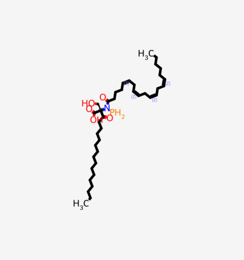 CCCCC/C=C\C/C=C\C/C=C\C/C=C\CCCC(=O)N(P)[C@@](CO)(C(=O)O)C(=O)CCCCCCCCCCCCCCC